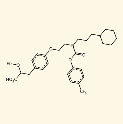 CCOC(Cc1ccc(OCCN(CCCC2CCCCC2)C(=O)Oc2ccc(C(F)(F)F)cc2)cc1)C(=O)O